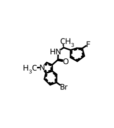 C[C@H](NC(=O)c1cn(C)c2ccc(Br)cc12)c1cccc(F)c1